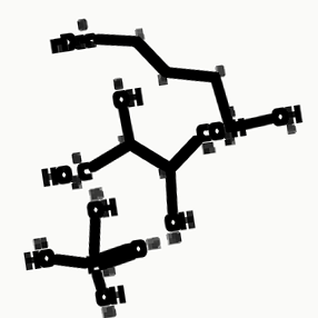 CCCCCCCCCCCCCCO.O=C(O)C(O)C(O)C(=O)O.O=P(O)(O)O